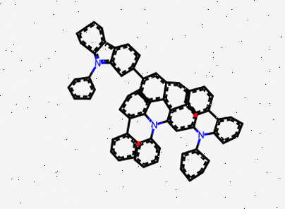 c1ccc(-c2ccccc2N(c2ccccc2)c2cc(N(c3ccccc3)c3ccccc3-c3ccccc3)c3c(ccc4cc(-c5ccc6c7ccccc7n(-c7ccccc7)c6c5)ccc43)c2)cc1